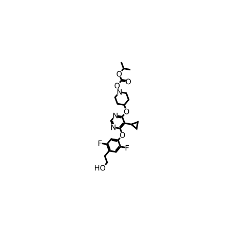 CC(C)OC(=O)ON1CCC(Oc2ncnc(Oc3cc(F)c(CCO)cc3F)c2C2CC2)CC1